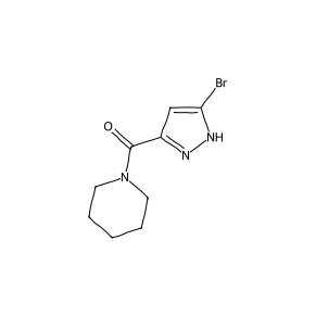 O=C(c1cc(Br)[nH]n1)N1CCCCC1